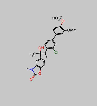 COc1cc(-c2ccc(C(C)C(O)(c3ccc4oc(=O)n(C)c4c3)C(F)(F)F)c(Cl)c2)ccc1OC(=O)O